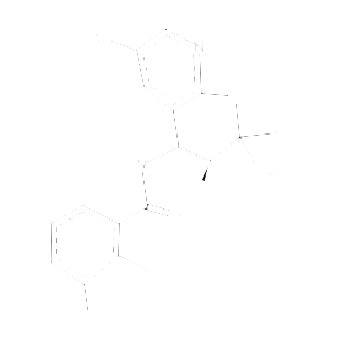 CC(=O)c1cnc2c(c1)C(NC(=O)c1cccc(Cl)c1Cl)[C@H](O)C(C)(C)O2